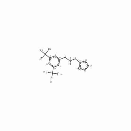 FC(F)(F)c1cc(CNCc2ccco2)cc(C(F)(F)F)c1